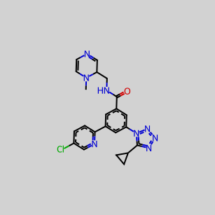 CN1C=CN=CC1CNC(=O)c1cc(-c2ccc(Cl)cn2)cc(-n2nnnc2C2CC2)c1